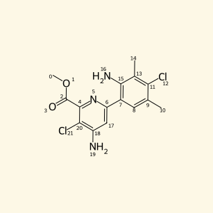 COC(=O)c1nc(-c2cc(C)c(Cl)c(C)c2N)cc(N)c1Cl